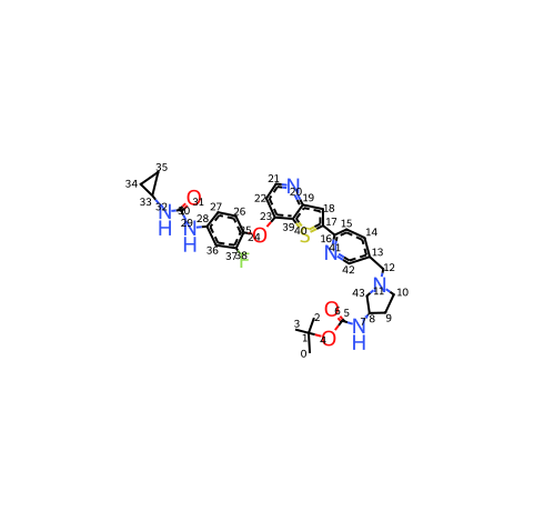 CC(C)(C)OC(=O)N[C@@H]1CCN(Cc2ccc(-c3cc4nccc(Oc5ccc(NC(=O)NC6CC6)cc5F)c4s3)nc2)C1